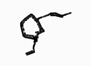 C=C[n+]1cccc(C=CC)c1